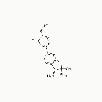 CC(C)Oc1ccc(-c2ccc3c(c2)CC(C)(C)[C@H]3N)cc1Cl